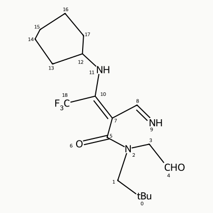 CC(C)(C)CN(CC=O)C(=O)/C(C=N)=C(/NC1CCCCC1)C(F)(F)F